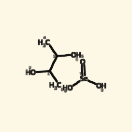 CC(O)C(C)O.O=[Se](O)O